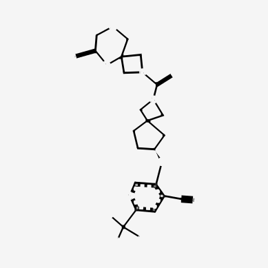 N#Cc1cc(C(F)(F)F)ncc1O[C@H]1CCC2(C1)CN(C(=O)N1CC3(COCC(=O)N3)C1)C2